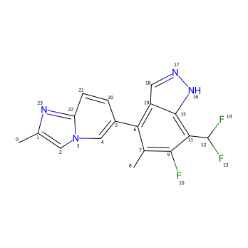 Cc1cn2cc(-c3c(C)c(F)c(C(F)F)c4[nH]ncc34)ccc2n1